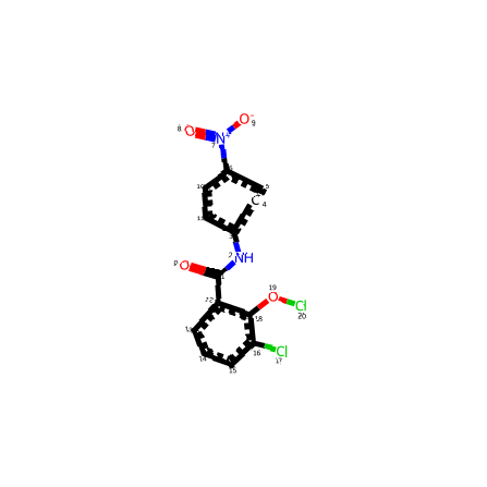 O=C(Nc1ccc([N+](=O)[O-])cc1)c1cccc(Cl)c1OCl